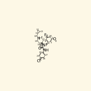 COc1cc(F)c(C2CN(CC3CC3)CC[C@H]2NC(=O)Nc2ccc(Cl)cc2)c(F)c1